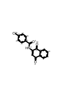 O=C(NC1=CC(=O)c2ccccc2C1=O)c1ccc(Cl)cc1